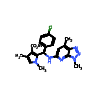 CCOC(=O)c1c(C)cn(C)c1C(Nc1cc(C)c2nnn(C)c2n1)c1ccc(Cl)cc1